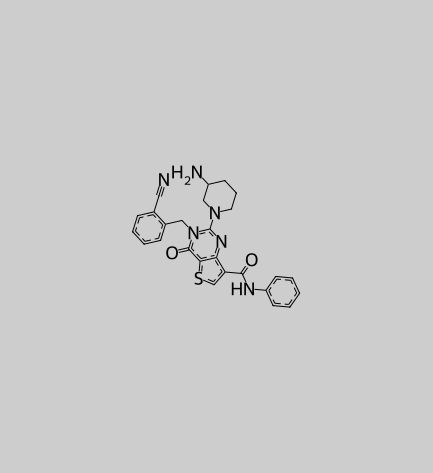 N#Cc1ccccc1Cn1c(N2CCCC(N)C2)nc2c(C(=O)Nc3ccccc3)csc2c1=O